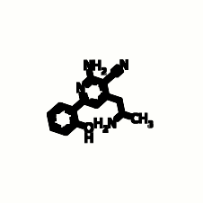 CC(N)Cc1cc(-c2ccccc2O)nc(N)c1C#N